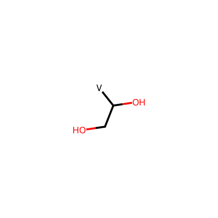 OC[CH](O)[V]